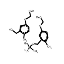 COCOc1ccc(C)c(CO)c1.COCOc1ccc(C)c(CO[Si](C)(C)C(C)(C)C)c1